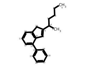 CCCCC(C)C1=Cc2c(cccc2-c2ccccc2)[CH]1